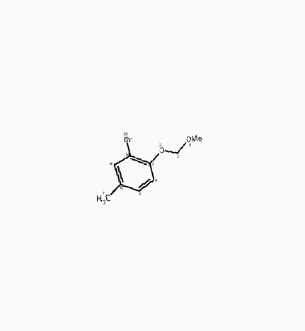 COCOc1[c]cc(C)cc1Br